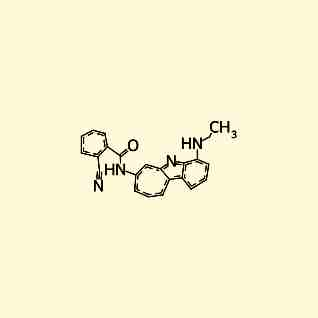 CCNc1cccc2c3cccc(NC(=O)c4ccccc4C#N)cc-3nc12